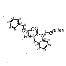 CCCCCCOCN1C(=O)[C@@H](NC(=O)OCc2ccccc2)Cc2ccccc21